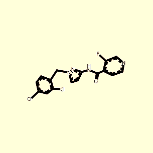 O=C(Nc1ccn(Cc2ccc(Cl)cc2Cl)n1)c1ccncc1F